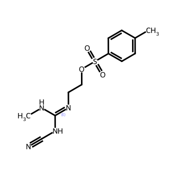 CN/C(=N\CCOS(=O)(=O)c1ccc(C)cc1)NC#N